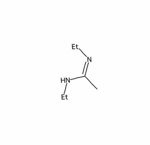 CCN=C(C)NCC